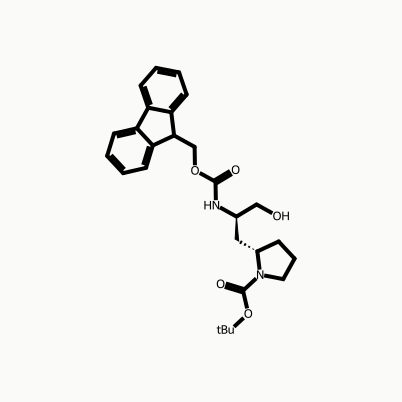 CC(C)(C)OC(=O)N1CCC[C@H]1C[C@H](CO)NC(=O)OCC1c2ccccc2-c2ccccc21